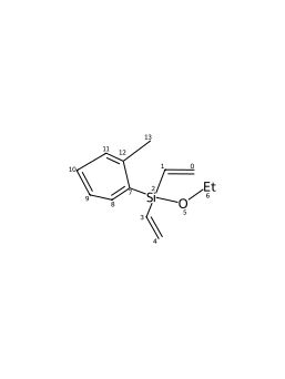 C=C[Si](C=C)(OCC)c1ccccc1C